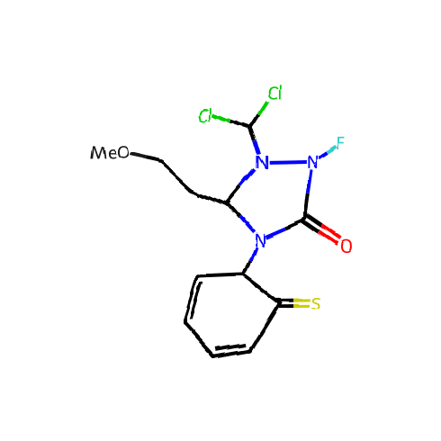 COCCC1N(C2C=CC=CC2=S)C(=O)N(F)N1C(Cl)Cl